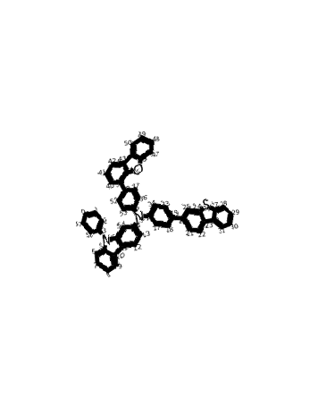 c1ccc(-n2c3ccccc3c3ccc(N(c4ccc(-c5ccc6c(c5)sc5ccccc56)cc4)c4ccc(-c5cccc6c5oc5ccccc56)cc4)cc32)cc1